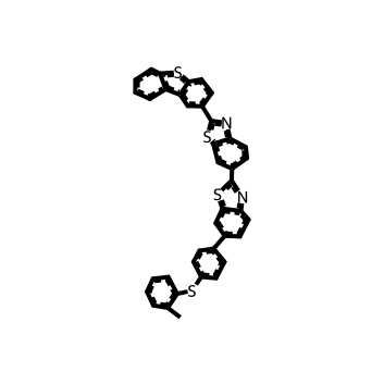 Cc1ccccc1Sc1ccc(-c2ccc3nc(-c4ccc5nc(-c6ccc7sc8ccccc8c7c6)sc5c4)sc3c2)cc1